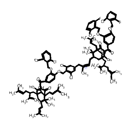 C=C(C)C(CC=C(C)C)CC12CC(CC=C(C)C)C(C)(C)C(CC=C(C)C)(C(=O)C(C(=O)c3ccc(OCc4c(Cl)cc(C/C(C)=C\CC5CC6(CC(CC=C(C)C)C(=C)C)C(O)=C(C(=O)c7ccc(OCc8c(F)cccc8Cl)c(OCc8c(F)cccc8Cl)c7)C(=O)C(CC=C(C)C)(C6O)C5(C)C)cc4Cl)c(OCc4c(Cl)cccc4Cl)c3)=C1O)C2O